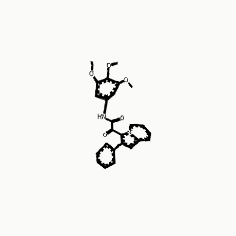 COc1cc(NC(=O)C(=O)c2c(-c3ccccc3)cc3ccccn23)cc(OC)c1OC